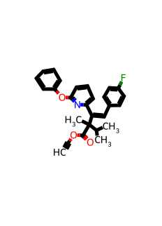 C#COC(=O)C(C)(C(=Cc1ccc(F)cc1)c1cccc(Oc2ccccc2)n1)C(C)C